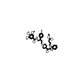 CCOC(=O)CCCn1c(C(=O)C2CCN(CCC(CN(C)C(=O)c3cc(OC)c(OC)c(OC)c3)c3ccc(F)cc3)CC2)nc2ccccc21